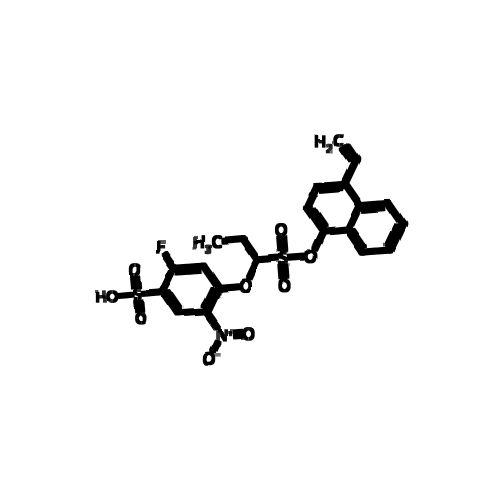 C=Cc1ccc(OS(=O)(=O)C(CC)Oc2cc(F)c(S(=O)(=O)O)cc2[N+](=O)[O-])c2ccccc12